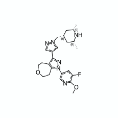 COc1ncc(-n2nc(-c3cnn(C[C@H]4C[C@@H](C)N[C@@H](C)C4)c3)c3c2CCOCC3)cc1F